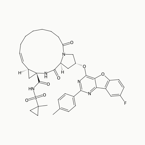 Cc1ccc(-c2nc(O[C@@H]3C[C@H]4C(=O)N[C@]5(C(=O)NS(=O)(=O)C6(C)CC6)C[C@H]5/C=C\CCCCCCC(=O)N4C3)c3oc4ccc(F)cc4c3n2)cc1